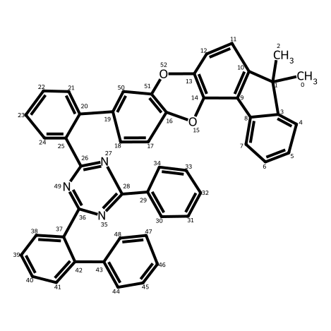 CC1(C)c2ccccc2-c2c1ccc1c2Oc2ccc(-c3ccccc3-c3nc(-c4ccccc4)nc(-c4ccccc4-c4ccccc4)n3)cc2O1